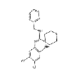 Clc1cc2c(cc1Cl)NC1(CCSCC1)C(NCc1ccccc1)=N2